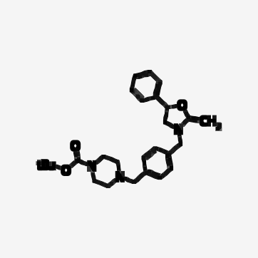 C=C1OC(c2ccccc2)CN1Cc1ccc(CN2CCN(C(=O)OC(C)(C)C)CC2)cc1